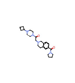 O=C(CN1CCc2cc(C(=O)N3CCCC3)ccc2C1)N1CCN(C2CCC2)CC1